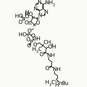 CCCC[SH](C)CCNC(=O)CCNC(=O)C(O)C(C)(C)COP(=O)(O)OP(=O)(O)OC[C@H]1O[C@@H](n2cnc3c(N)ncnc32)[C@H](O)[C@@H]1OP(=O)(O)O